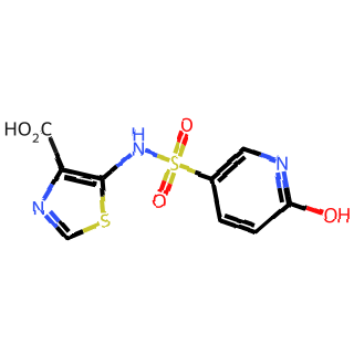 O=C(O)c1ncsc1NS(=O)(=O)c1ccc(O)nc1